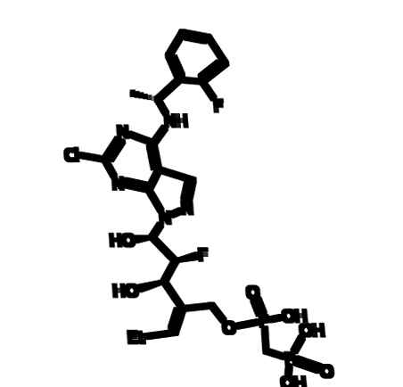 CC/C=C(/COP(=O)(O)CP(=O)(O)O)[C@@H](O)[C@H](F)[C@@H](O)n1ncc2c(N[C@H](C)c3ccccc3F)nc(Cl)nc21